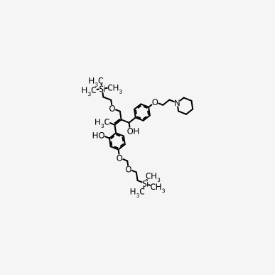 CC(=C(COCC[Si](C)(C)C)C(O)c1ccc(OCCN2CCCCC2)cc1)c1ccc(OCOCC[Si](C)(C)C)cc1O